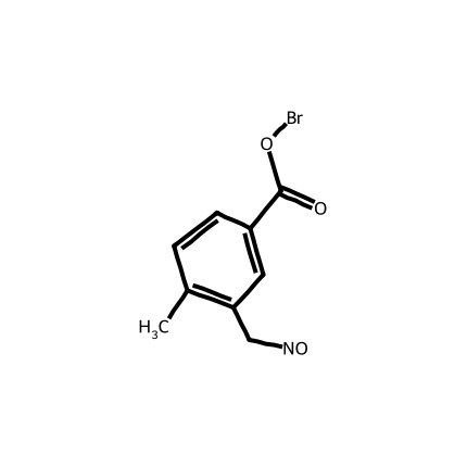 Cc1ccc(C(=O)OBr)cc1CN=O